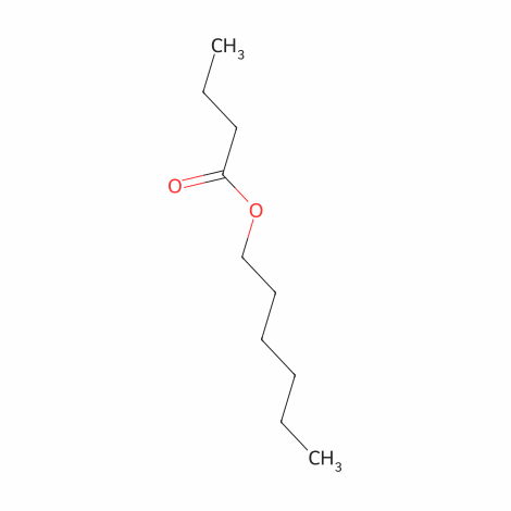 CCCCCCOC(=O)CCC